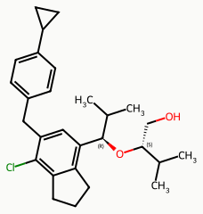 CC(C)[C@@H](CO)O[C@@H](c1cc(Cc2ccc(C3CC3)cc2)c(Cl)c2c1CCC2)C(C)C